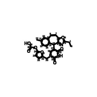 CCc1nc2c(o1)C=Cc1cc(C)ccc1C2c1cn(Cc2ccc(OC(=O)O)o2)c(=O)[nH]c1=O